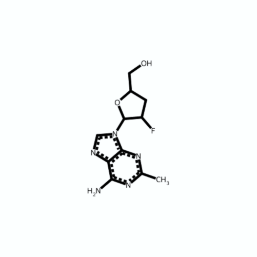 Cc1nc(N)c2ncn(C3OC(CO)CC3F)c2n1